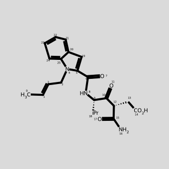 CC=CCn1c(C(=O)N[C@H](C(=O)[C@H](CC(=O)O)C(N)=O)C(C)C)cc2ccccc21